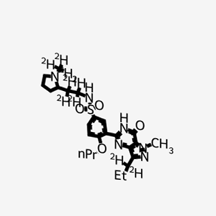 [2H]C([2H])(CC)c1nn(C)c2c(=O)[nH]c(-c3cc(S(=O)(=O)NC([2H])([2H])C([2H])([2H])C4CCCN4C([2H])([2H])[2H])ccc3OCCC)nc12